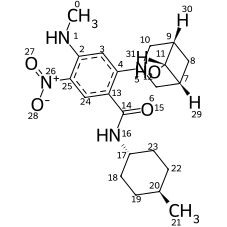 CNc1cc(N2C[C@H]3C[C@@H](C2)[C@H]3O)c(C(=O)N[C@H]2CC[C@H](C)CC2)cc1[N+](=O)[O-]